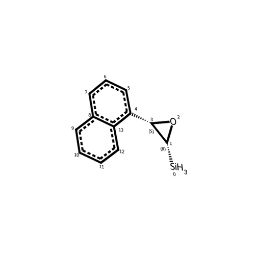 [SiH3][C@H]1O[C@H]1c1cccc2ccccc12